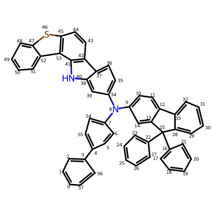 c1ccc(-c2ccc(N(c3ccc4c(c3)C(c3ccccc3)(c3ccccc3)c3ccccc3-4)c3ccc4c(c3)[nH]c3c4ccc4sc5ccccc5c43)cc2)cc1